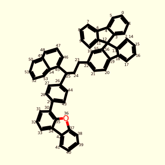 c1ccc2c(c1)-c1ccccc1C21c2ccccc2-c2ccc(CCC(c3ccc(-c4cccc5c4oc4ccccc45)cc3)c3cccc4ccccc34)cc21